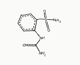 NC(=O)Nc1ccccc1S(N)(=O)=O